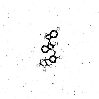 C[C@]1(c2ccc(Cl)c(Cn3c(=O)n(-c4noc5cc(Cl)ccc45)c4ccccc43)c2)OC(=O)NC1=O